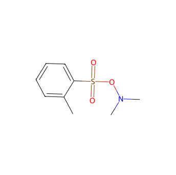 Cc1ccccc1S(=O)(=O)ON(C)C